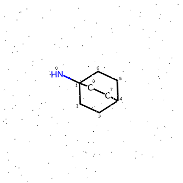 [NH]C12CCC(CC1)CC2